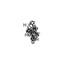 Cc1ccccc1COP(=O)(NCc1ccccc1)OCC1(N=[N+]=[N-])OC(n2ccc(=O)[nH]c2=O)C(O)C1O